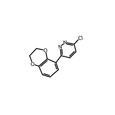 Clc1ccc(-c2cccc3c2OCCO3)nn1